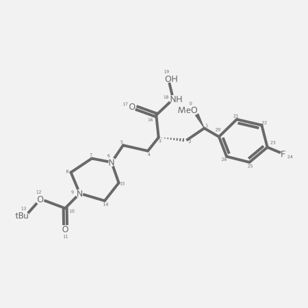 CO[C@H](C[C@H](CCN1CCN(C(=O)OC(C)(C)C)CC1)C(=O)NO)c1ccc(F)cc1